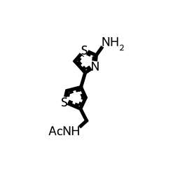 CC(=O)NCc1cc(-c2csc(N)n2)cs1